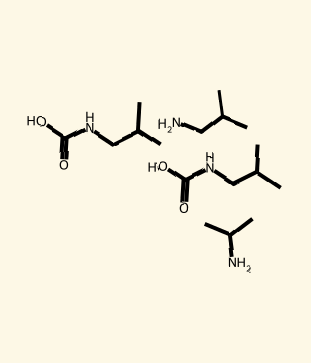 CC(C)CN.CC(C)CNC(=O)O.CC(C)CNC(=O)O.CC(C)N